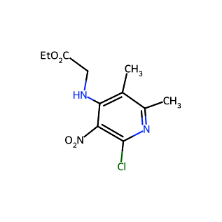 CCOC(=O)CNc1c(C)c(C)nc(Cl)c1[N+](=O)[O-]